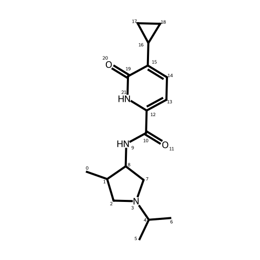 CC1CN(C(C)C)CC1NC(=O)c1ccc(C2CC2)c(=O)[nH]1